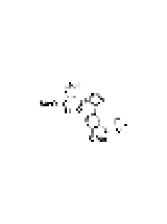 COC(=O)[C@H]1CNC[C@@H]1C(=O)n1ccnc1-c1ccc(OC)c(OC2CCCC2)c1